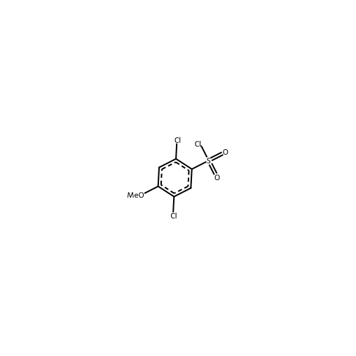 COc1cc(Cl)c(S(=O)(=O)Cl)cc1Cl